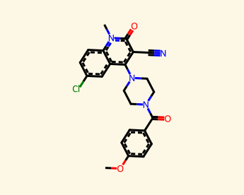 COc1ccc(C(=O)N2CCN(c3c(C#N)c(=O)n(C)c4ccc(Cl)cc34)CC2)cc1